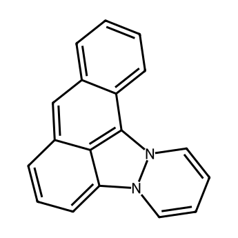 C1=CN2c3cccc4cc5ccccc5c(c34)N2C=C1